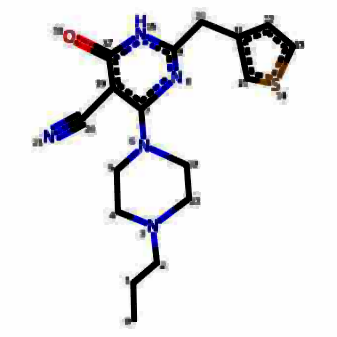 CCCN1CCN(c2nc(Cc3ccsc3)[nH]c(=O)c2C#N)CC1